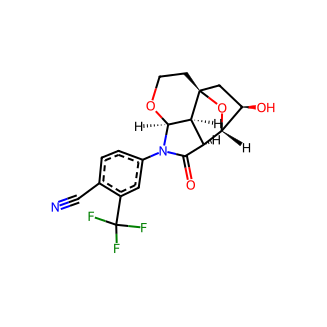 N#Cc1ccc(N2C(=O)[C@@H]3[C@@H]4O[C@@]5(CCO[C@H]2[C@H]35)C[C@H]4O)cc1C(F)(F)F